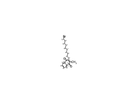 CC1=C(CCCCCCCCCCBr)C(=O)c2ccccc2C1=O